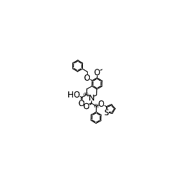 COc1ccc2c(c1OCc1ccccc1)C[C@H](C(=O)O)N(C(=O)[C@@H](Oc1cccs1)c1ccccc1)C2